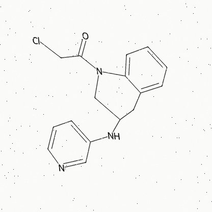 O=C(CCl)N1CC(Nc2cccnc2)Cc2ccccc21